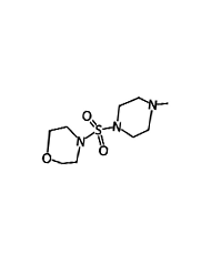 CN1CCN(S(=O)(=O)N2CCOCC2)CC1